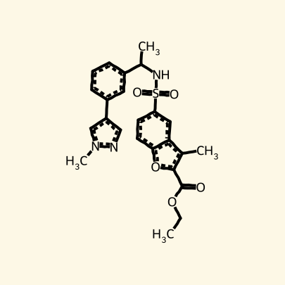 CCOC(=O)c1oc2ccc(S(=O)(=O)NC(C)c3cccc(-c4cnn(C)c4)c3)cc2c1C